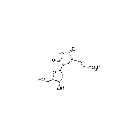 O=C(O)/C=C/c1cn([C@H]2C[C@@H](O)[C@@H](CO)O2)c(=O)[nH]c1=O